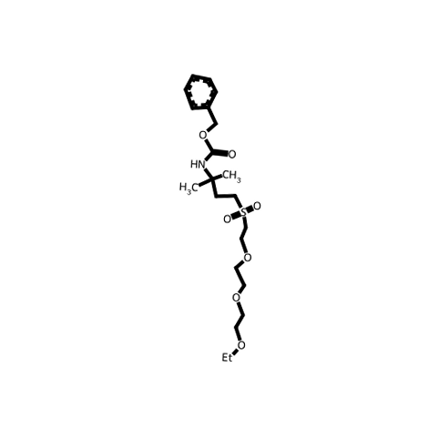 CCOCCOCCOCCS(=O)(=O)CCC(C)(C)NC(=O)OCc1ccccc1